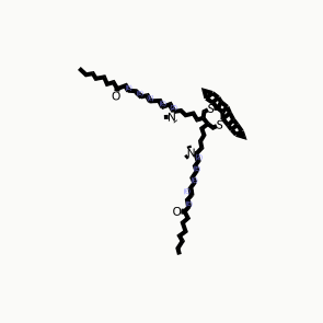 CCCCCCCC(=O)/C=C/C=C/C=C/C=C/C=C(/CCCCC1CSC23C4C5CC5C4C2C2C4C5C6C7CC7C6C5C4(SCC1CCCC/C(=C/C=C/C=C/C=C/C=C/C(=O)CCCCCCC)N(C)C)C23)N(C)C